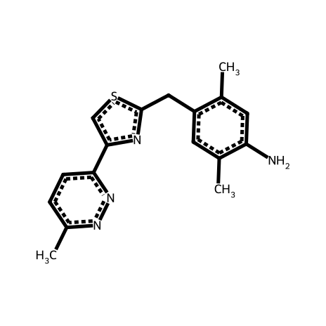 Cc1ccc(-c2csc(Cc3cc(C)c(N)cc3C)n2)nn1